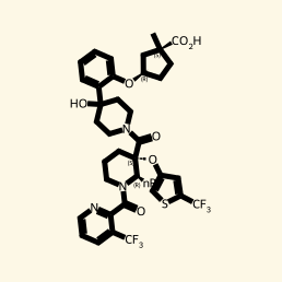 CCC[C@H]1N(C(=O)c2ncccc2C(F)(F)F)CCC[C@@]1(Oc1csc(C(F)(F)F)c1)C(=O)N1CCC(O)(c2ccccc2O[C@@H]2CC[C@](C)(C(=O)O)C2)CC1